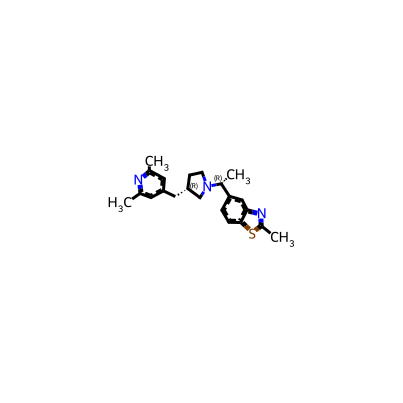 Cc1cc(C[C@@H]2CCN([C@H](C)c3ccc4sc(C)nc4c3)C2)cc(C)n1